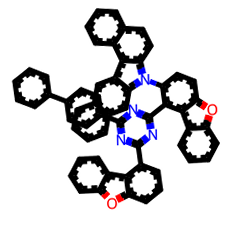 c1ccc(-c2ccc(-c3nc(-c4cccc5oc6ccccc6c45)nc(-c4c(-n5c6cc7ccccc7cc6c6c7ccccc7ccc65)ccc5oc6ccccc6c45)n3)cc2)cc1